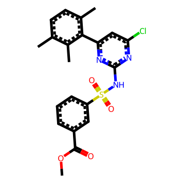 COC(=O)c1cccc(S(=O)(=O)Nc2nc(Cl)cc(-c3c(C)ccc(C)c3C)n2)c1